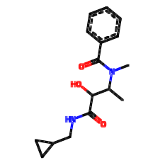 CC(C(O)C(=O)NCC1CC1)N(C)C(=O)c1ccccc1